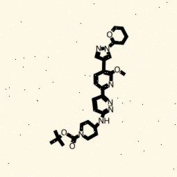 COc1nc(-c2ccc(NC3CCN(C(=O)OC(C)(C)C)CC3)nn2)ccc1-c1cnn(C2CCCCO2)c1